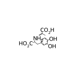 C=C(C)C(=O)O.NC(Cc1ccc(O)c(O)c1)C(=O)O